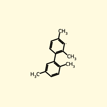 Cc1[c]c(C)c(-c2cc(C)ccc2C)cc1